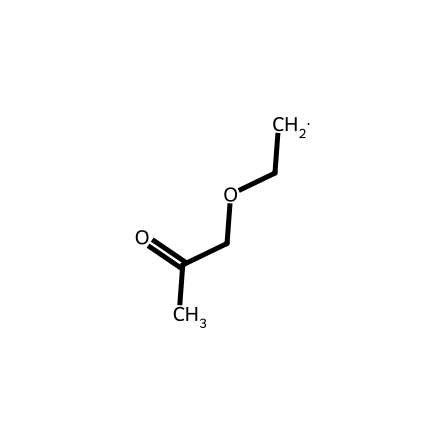 [CH2]COCC(C)=O